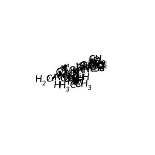 C=CCNC(=O)C(=O)C(NC(=O)[C@@H]1[C@@H]2[C@H](CN1C(=O)[C@@H](NC(=O)N[C@H](CN(C)S(=O)(=O)c1ccccc1)C(C)(C)C)C(C)(C)C)C2(C)C)C1CC1